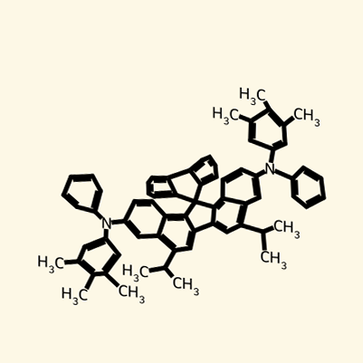 Cc1cc(N(c2ccccc2)c2ccc3c4c(cc(C(C)C)c3c2)-c2cc(C(C)C)c3cc(N(c5ccccc5)c5cc(C)c(C)c(C)c5)ccc3c2C42c3ccccc3-c3ccccc32)cc(C)c1C